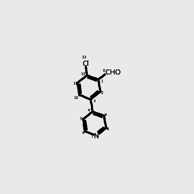 O=Cc1cc(-c2ccncc2)ccc1Cl